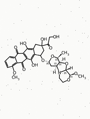 COc1cccc2c1C(=O)c1c(O)c3c(c(O)c1C2=O)CC(O)(C(=O)CO)CC3O[C@H]1C[C@H]2[C@H](O[C@@H]3[C@@H](OC)OCCN32)[C@H](C)O1